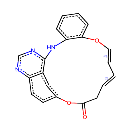 O=C1C/C=C/C=C/Oc2ccccc2Nc2ncnc3ccc(cc23)O1